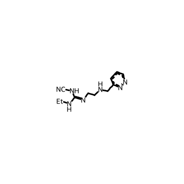 CCN/C(=N/CCNCc1cccnn1)NC#N